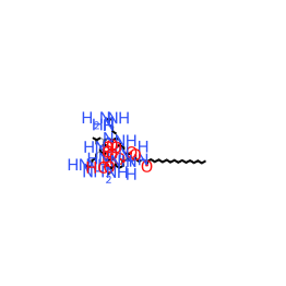 CCCCCCCCCCCCCCCC(=O)NCC(=O)N[C@@H](CO)C(=O)NCC(=O)N[C@@H](CCCNC(=N)N)C(=O)N[C@@H](CC(C)C)C(=O)N[C@@H](CCCNC(=N)N)C(=O)N[C@@H](CO)C(=O)NC(C(=O)NC)[C@@H](C)CC